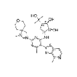 Cc1nc(NCC2(N(C)C)CCOCC2)nc(N[C@@H]2C[C@H](C(C)(C)O)[C@@H](O)[C@H]2O)c1-c1nc2c(C)nccc2s1